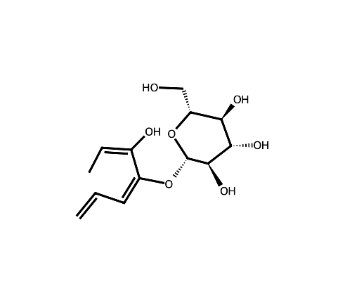 C=C/C=C(O[C@@H]1O[C@H](CO)[C@@H](O)[C@H](O)[C@H]1O)\C(O)=C/C